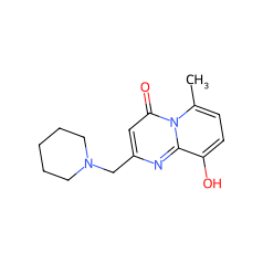 Cc1ccc(O)c2nc(CN3CCCCC3)cc(=O)n12